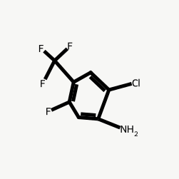 Nc1cc(F)c(C(F)(F)F)cc1Cl